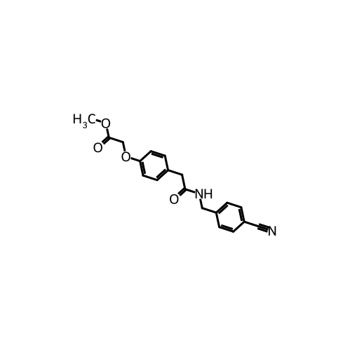 COC(=O)COc1ccc(CC(=O)NCc2ccc(C#N)cc2)cc1